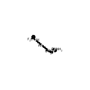 Nc1ccn(C2CSC(COC(=O)CCCCCNCCCCCCNCc3ccccc3C(F)(F)F)O2)c(=O)n1